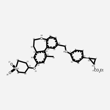 CCOC(=O)[C@H]1C[C@@H]1c1ccc(OCc2ccc3c(c2)-c2c(C)cc(OC4CCS(=O)(=O)CC4)cc2CCO3)cc1